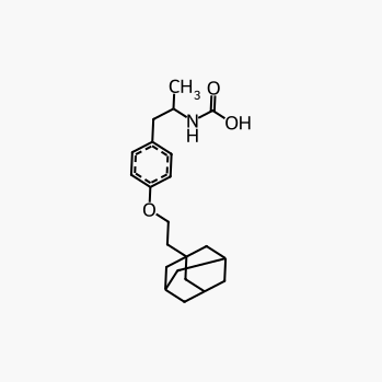 CC(Cc1ccc(OCCC23CC4CC(CC(C4)C2)C3)cc1)NC(=O)O